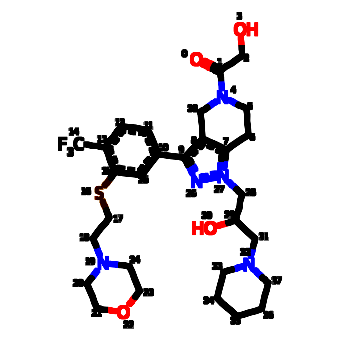 O=C(CO)N1CCc2c(c(-c3ccc(C(F)(F)F)c(SCCN4CCOCC4)c3)nn2CC(O)CN2CCCCC2)C1